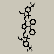 CCN1/C(=C/C=C2\C=CC(/C=C/C3=[N+](CC)c4ccc(C(F)(F)F)cc4C3(C)C)=C2N(c2ccccc2)c2ccccc2)C(C)(C)c2cc(C(F)(F)F)ccc21